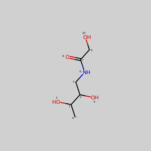 [CH2]C(O)C(O)CNC(=O)CO